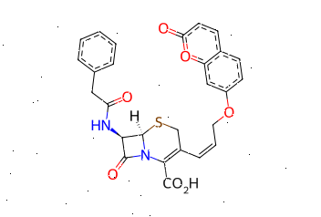 O=C(Cc1ccccc1)N[C@@H]1C(=O)N2C(C(=O)O)=C(/C=C\COc3ccc4ccc(=O)oc4c3)CS[C@H]12